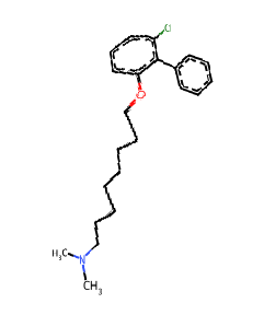 CN(C)CCCCCCCCOc1cccc(Cl)c1-c1ccccc1